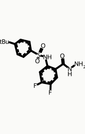 CC(C)(C)c1ccc(S(=O)(=O)Nc2cc(F)c(F)cc2C(=O)NN)cc1